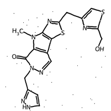 Cn1c2nc(Cc3csc(CO)n3)sc2c2cnn(Cc3cc[nH]n3)c(=O)c21